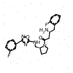 N[C@@H](CC(=O)N1CCC[C@H]1CNc1nc(-c2cccc(F)c2)no1)Cc1ccccc1F